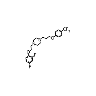 Fc1ccc(OCCN2CCN(CCCOc3ccc(C(F)(F)F)cc3)CC2)c(F)c1